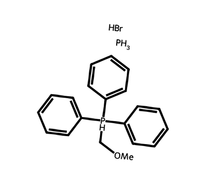 Br.COC[PH](c1ccccc1)(c1ccccc1)c1ccccc1.P